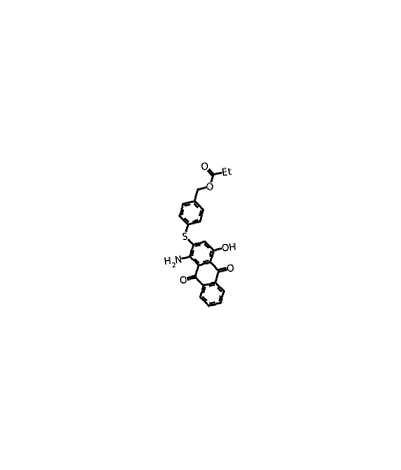 CCC(=O)OCc1ccc(Sc2cc(O)c3c(c2N)C(=O)c2ccccc2C3=O)cc1